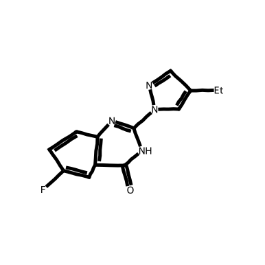 CCc1cnn(-c2nc3ccc(F)cc3c(=O)[nH]2)c1